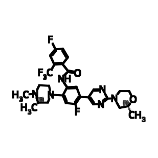 C[C@@H]1CN(c2ncc(-c3cc(NC(=O)c4ccc(F)cc4C(F)(F)F)c(N4CCN(C)[C@@H](C)C4)cc3F)cn2)CCO1